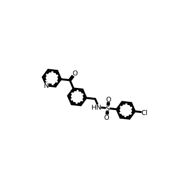 O=C(c1cccnc1)c1cccc(CNS(=O)(=O)c2ccc(Cl)cc2)c1